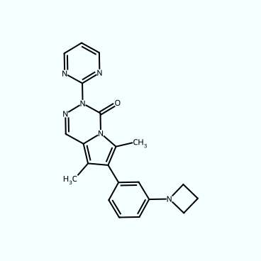 Cc1c(-c2cccc(N3CCC3)c2)c(C)n2c(=O)n(-c3ncccn3)ncc12